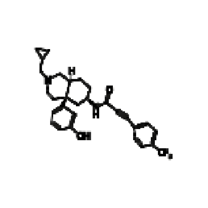 O=C(C#Cc1ccc(C(F)(F)F)cc1)N[C@@H]1CC[C@@H]2CN(CC3CC3)CC[C@@]2(c2cccc(O)c2)C1